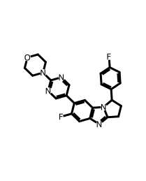 Fc1ccc(C2CCc3nc4cc(F)c(-c5cnc(N6CCOCC6)nc5)cc4n32)cc1